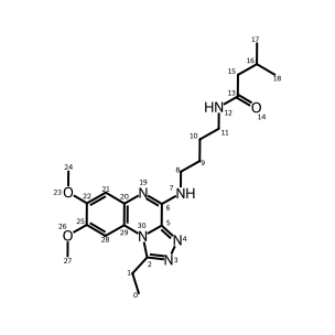 CCc1nnc2c(NCCCCNC(=O)CC(C)C)nc3cc(OC)c(OC)cc3n12